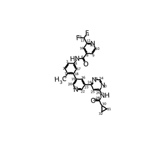 Cc1ccc(NC(=O)c2ccnc(C(F)F)c2)cc1-c1cncc(-c2cc(NC(=O)C3CC3)ncn2)c1